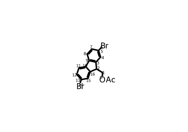 CC(=O)OCC1c2cc(Br)ccc2-c2ccc(Br)cc21